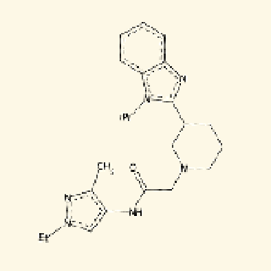 CCn1cc(NC(=O)CN2CCCC(c3nc4ccccc4n3C(C)C)C2)c(C)n1